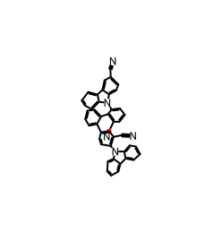 N#Cc1ccc2c(c1)c1ccccc1n2-c1cccc(C#N)c1-c1ccccc1-c1ccc(-n2c3ccccc3c3ccccc32)c(C#N)c1